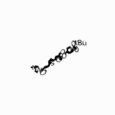 CN1CCN(C(=O)C=Cc2ccc(-c3ccc4c(c3)COC(C3CCN(C(=O)OC(C)(C)C)CC3)O4)s2)CC1